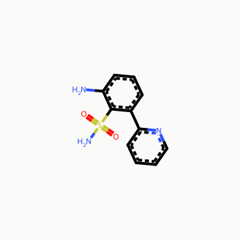 Nc1cccc(-c2ccccn2)c1S(N)(=O)=O